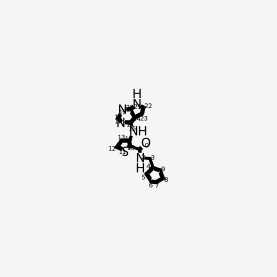 O=C(NCc1ccccc1)c1sccc1Nc1ncnc2[nH]ccc12